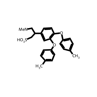 CNCC(CS(=O)(=O)O)c1ccc(Oc2ccc(C)cc2)c(Oc2ccc(C)cc2)c1